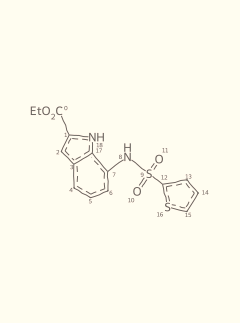 CCOC(=O)c1cc2cccc(NS(=O)(=O)c3cccs3)c2[nH]1